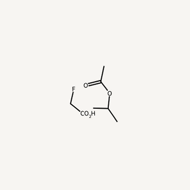 CC(=O)OC(C)C.O=C(O)CF